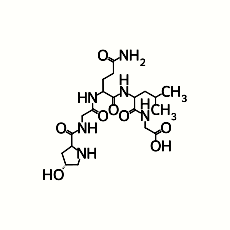 CC(C)CC(NC(=O)C(CCC(N)=O)NC(=O)CNC(=O)C1C[C@@H](O)CN1)C(=O)NCC(=O)O